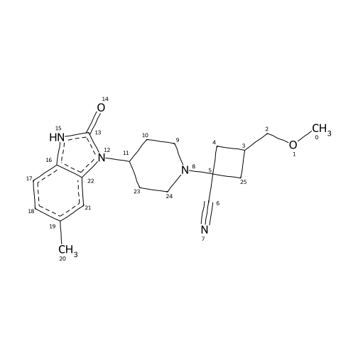 COCC1CC(C#N)(N2CCC(n3c(=O)[nH]c4ccc(C)cc43)CC2)C1